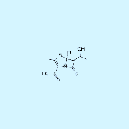 CC1=C(C(=O)O)N2C(=S)C(C(C)O)[C@@H]2S1